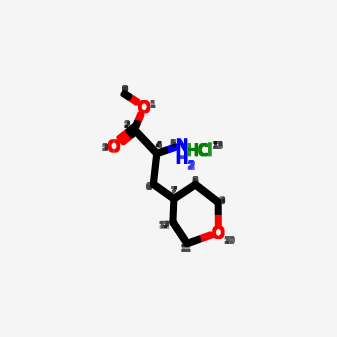 COC(=O)C(N)CC1CCOCC1.Cl